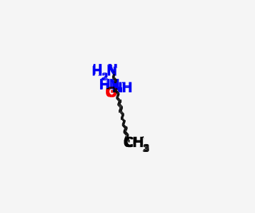 CCCCCCCCCCCCCCCC(=O)NNCCCN